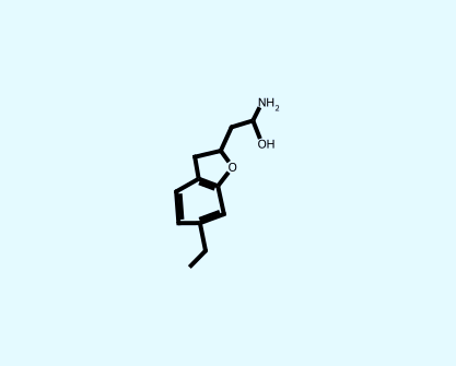 CCc1ccc2c(c1)OC(CC(N)O)C2